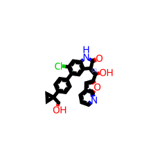 O=C1Nc2cc(Cl)c(-c3ccc(C4(CO)CC4)cc3)cc2/C1=C(/O)c1cc2cccnc2o1